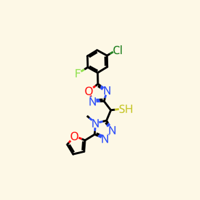 Cn1c(-c2ccco2)nnc1C(S)c1noc(-c2cc(Cl)ccc2F)n1